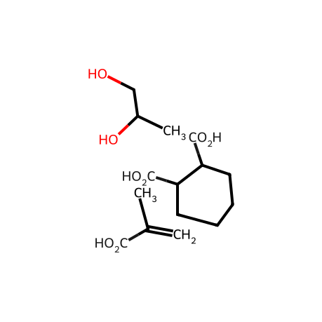 C=C(C)C(=O)O.CC(O)CO.O=C(O)C1CCCCC1C(=O)O